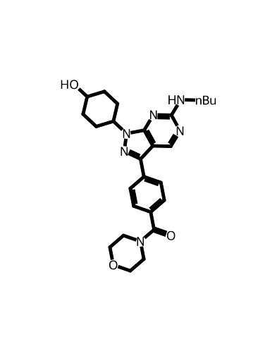 CCCCNc1ncc2c(-c3ccc(C(=O)N4CCOCC4)cc3)nn(C3CCC(O)CC3)c2n1